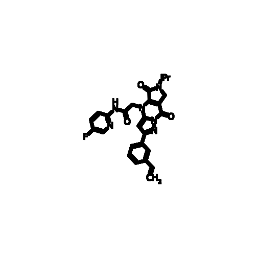 C=Cc1cccc(-c2cc3n(CC(=O)Nc4ccc(F)cn4)c4c(c(=O)n3n2)CN(C(C)C)C4=O)c1